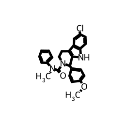 COc1ccc(C2c3[nH]c4ccc(Cl)cc4c3CCN2C(=O)N(C)c2ccccc2)cc1